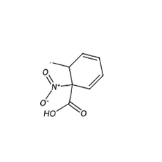 [CH2]C1C=CC=CC1(C(=O)O)[N+](=O)[O-]